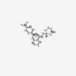 C=C(/C=c1/nccn/c1=C(/N)OCC1(F)CCCNC1)c1ccc(N(C)C)nc1